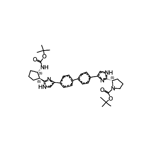 CC(C)(C)OC(=O)N[C@H]1CCC[C@@H]1c1nc(-c2ccc(-c3ccc(-c4c[nH]c([C@@H]5CCCN5C(=O)OC(C)(C)C)n4)cc3)cc2)c[nH]1